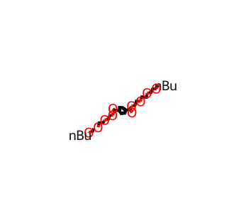 CCCCOCCOCCOCCOC(=O)c1ccc(C(=O)OCCOCCOCCOCCCC)cc1